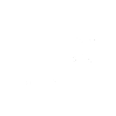 OCCSCCC1CSC(c2ccco2)S1